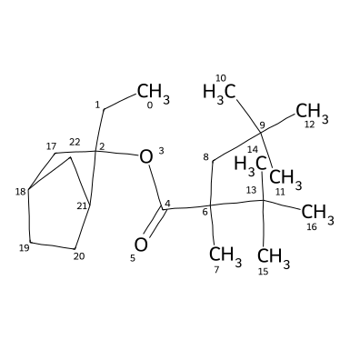 CCC1(OC(=O)C(C)(CC(C)(C)C)C(C)(C)C)CC2CCC1C2